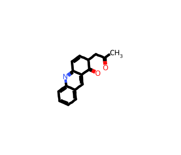 CC(=O)CC1C=Cc2nc3ccccc3cc2C1=O